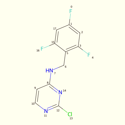 Fc1cc(F)c(CNc2ccnc(Cl)n2)c(F)c1